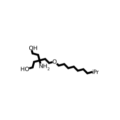 CC(C)CCCCCCCOCCC(N)(CCO)CCO